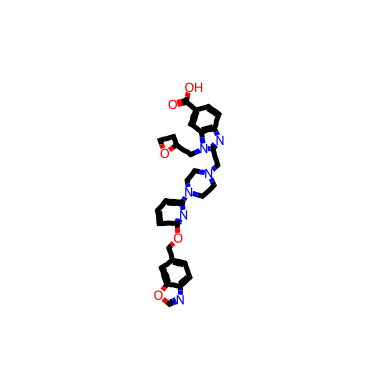 O=C(O)c1ccc2nc(CN3CCN(c4cccc(OCc5ccc6ncoc6c5)n4)CC3)n(CC3CCO3)c2c1